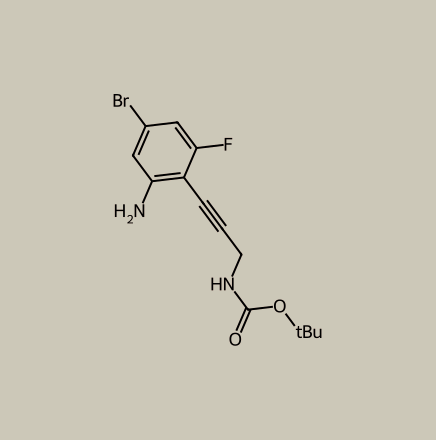 CC(C)(C)OC(=O)NCC#Cc1c(N)cc(Br)cc1F